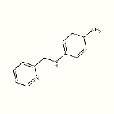 CC1C=CC(NCc2ccccn2)=CC1